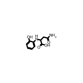 NC(=O)CC(Nc1ccccc1O)C(=O)O